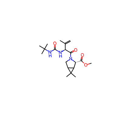 C=C(C)[C@H](NC(=O)NC(C)(C)C)C(=O)N1CC2C([C@H]1C(=O)OC)C2(C)C